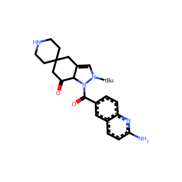 CC(C)(C)N1C=C2CC3(CCNCC3)CC(=O)C2N1C(=O)c1ccc2nc(N)ccc2c1